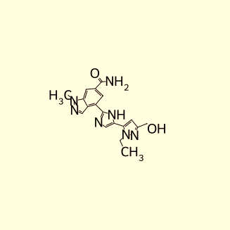 CCn1nc(CO)cc1-c1cnc(-c2cc(C(N)=O)cc3c2cnn3C)[nH]1